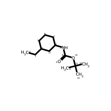 CCC1CCCC(NC(=O)OC(C)(C)C)C1